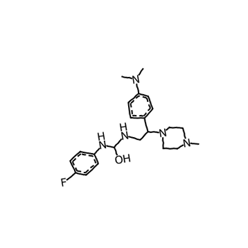 CN1CCN(C(CNC(O)Nc2ccc(F)cc2)c2ccc(N(C)C)cc2)CC1